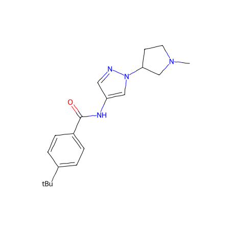 CN1CCC(n2cc(NC(=O)c3ccc(C(C)(C)C)cc3)cn2)C1